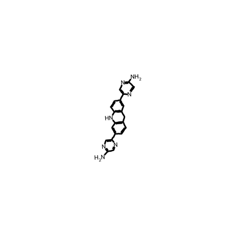 Nc1cnc(-c2ccc3c(c2)Cc2ccc(-c4cnc(N)cn4)cc2N3)cn1